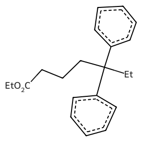 [CH2]CC(CCCC(=O)OCC)(c1ccccc1)c1ccccc1